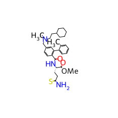 COC(=O)[C@H](CCC(N)=S)NC(=O)c1ccc(CN(C)CCC2CCCCC2)cc1-c1ccccc1C